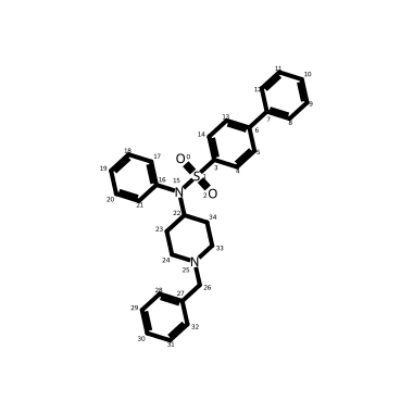 O=S(=O)(c1ccc(-c2ccccc2)cc1)N(c1ccccc1)C1CCN(Cc2ccccc2)CC1